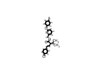 CC(C)C(/C=C/c1ccc(Cl)cc1)C(=O)OCc1cccc(Oc2ccc(F)cc2)n1